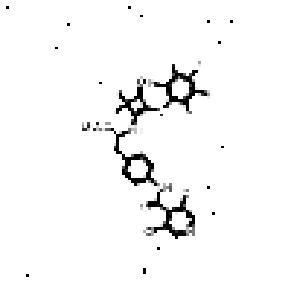 CCOC(=O)[C@H](Cc1ccc(NC(=O)c2c(Cl)cncc2Cl)cc1)NC1=C(Sc2c(F)c(F)c(F)c(F)c2F)C(=O)C1(C)C